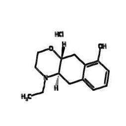 CCN1CCO[C@@H]2Cc3c(O)cccc3C[C@H]21.Cl